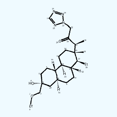 CCOC[C@@]1(O)CC[C@H]2[C@@H](CC[C@@H]3[C@@H]2CC[C@](C)([C@H](C)C(=O)Cn2ncnn2)[C@H]3CC)C1